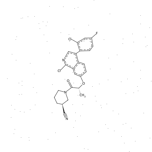 C[C@@H](Oc1ccc2c(-c3ccc(F)cc3Cl)cnc(Cl)c2c1)C(=O)N1CCC[C@H](C#N)C1